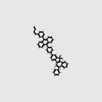 C=C/C=C\c1cccc(-c2c3ccccc3c(-c3ccc(-c4ccc5c(c4)C(C)(C)c4c-5c5sc6ccccc6c5c5ccccc45)cc3)c3ccccc23)c1